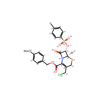 COc1ccc(COC(=O)C2=C(CCl)CS[C@@H]3[C@@H](OS(=O)(=O)c4ccc(C)cc4)C(=O)N23)cc1